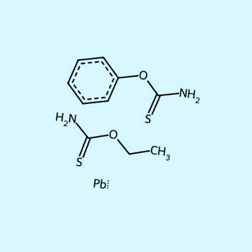 CCOC(N)=S.NC(=S)Oc1ccccc1.[Pb]